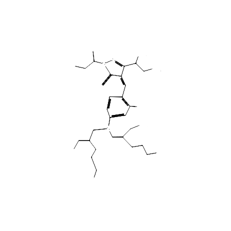 CCCCC(CC)CN(CC(CC)CCCC)c1ccc(C=C2C(=O)N(C(C)CC)N=C2C(C)CC)c(C)c1